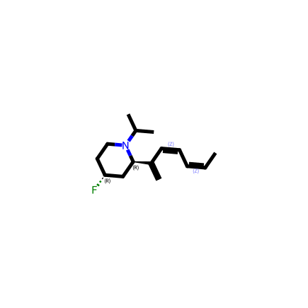 C=C(/C=C\C=C/C)[C@H]1C[C@H](F)CCN1C(C)C